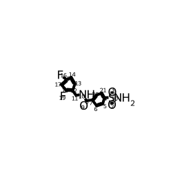 NS(=O)(=O)c1ccc(C(=O)NCc2ccc(F)cc2F)cc1